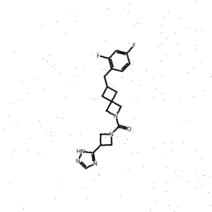 O=C(N1CC(c2ncn[nH]2)C1)N1CC2(CC(Cc3ccc(F)cc3F)C2)C1